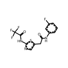 O=C(Cc1cnc(NC(=O)C(F)(F)F)s1)Nc1cccc(F)c1